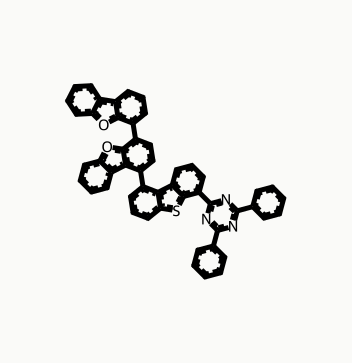 c1ccc(-c2nc(-c3ccccc3)nc(-c3cccc4c3sc3cccc(-c5ccc(-c6cccc7c6oc6ccccc67)c6oc7ccccc7c56)c34)n2)cc1